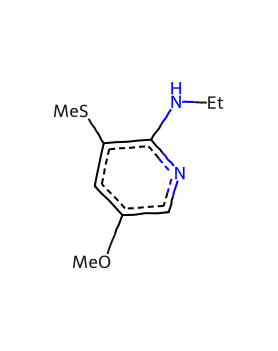 CCNc1ncc(OC)cc1SC